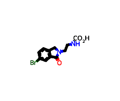 O=C(O)NCCN1Cc2ccc(Br)cc2C1=O